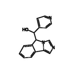 OC(c1ccncc1)C1c2ccccc2-c2cncn21